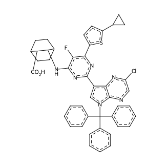 O=C(O)C1C2CCC(CC2)C1Nc1nc(-c2cn(C(c3ccccc3)(c3ccccc3)c3ccccc3)c3ncc(Cl)nc23)nc(-c2ccc(C3CC3)s2)c1F